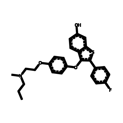 CCCN(C)CCOc1ccc(Oc2c(-c3ccc(F)cc3)sc3cc(O)ccc23)cc1